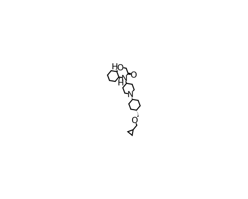 O=C1CO[C@@H]2CCCC[C@H]2N1C1CCN([C@H]2CC[C@@H](COCC3CC3)CC2)CC1